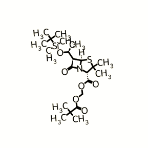 C[C@H](O[Si](C)(C)C(C)(C)C)[C@@H]1C(=O)N2[C@@H]1SC(C)(C)[C@@H]2C(=O)OCOC(=O)C(C)(C)C